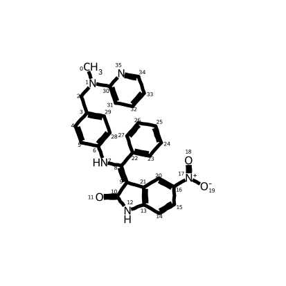 CN(Cc1ccc(N/C(=C2\C(=O)Nc3ccc([N+](=O)[O-])cc32)c2ccccc2)cc1)c1ccccn1